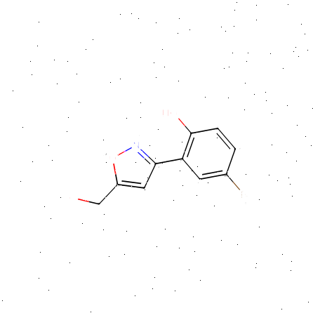 OCc1cc(-c2cc(Br)ccc2O)no1